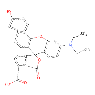 CCN(CC)c1ccc2c(c1)Oc1c(ccc3cc(O)ccc13)C21OC(=O)c2c(C(=O)O)cccc21